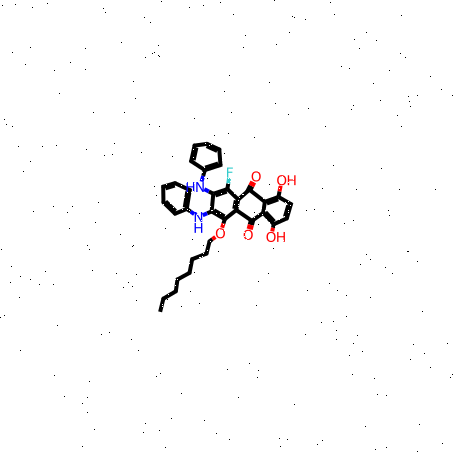 CCCCCCCCOc1c(Nc2ccccc2)c(Nc2ccccc2)c(F)c2c1C(=O)c1c(O)ccc(O)c1C2=O